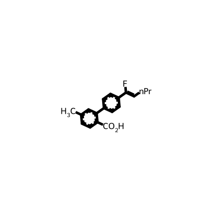 CCCC=C(F)c1ccc(-c2cc(C)ccc2C(=O)O)cc1